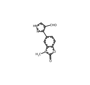 Cn1c(=O)oc2ccc(-c3n[nH]cc3C=O)cc21